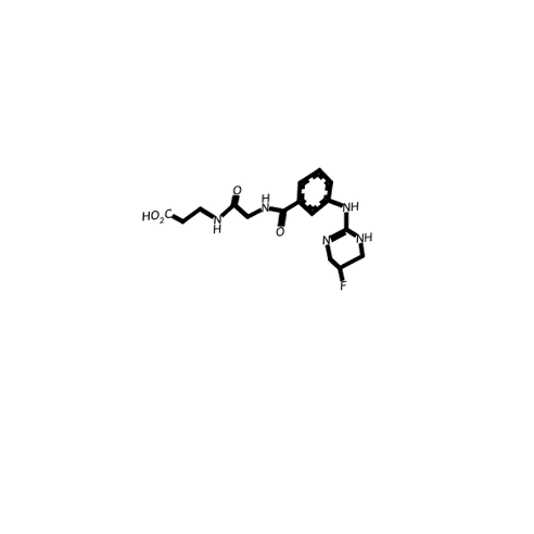 O=C(O)CCNC(=O)CNC(=O)c1cccc(NC2=NCC(F)CN2)c1